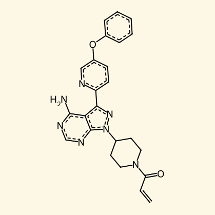 C=CC(=O)N1CCC(n2nc(-c3ccc(Oc4ccccc4)cn3)c3c(N)ncnc32)CC1